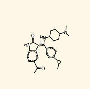 COc1ccc(/C(NC2CCC(N(C)C)CC2)=C2/C(=O)Nc3ccc(C(C)=O)cc32)cc1